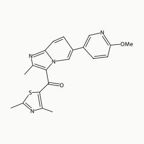 COc1ccc(-c2ccc3nc(C)c(C(=O)c4sc(C)nc4C)n3c2)cn1